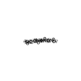 CC(C)(C)OC(=O)NCc1ccc(NC(=O)c2ccc(C(=O)Nc3ccc(C4=CCN(C(=O)OC(C)(C)C)CC4)cn3)cc2)cc1